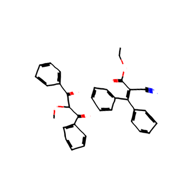 CCOC(=O)C(C#N)=C(c1ccccc1)c1ccccc1.COC(C(=O)c1ccccc1)C(=O)c1ccccc1